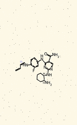 C=C/C=C\Nc1ccc(Nc2nc(N[C@@H]3CCCC[C@@H]3N)ncc2C(N)=O)cc1F